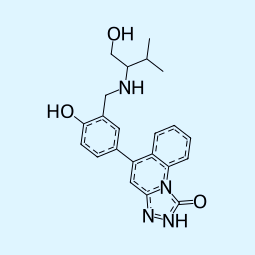 CC(C)C(CO)NCc1cc(-c2cc3n[nH]c(=O)n3c3ccccc23)ccc1O